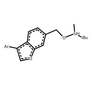 CC(=O)c1coc2cc(CO[SiH](C)C(C)(C)C)ccc12